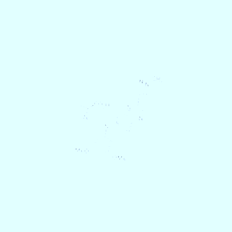 COc1cc(OC)cc(N(CCN2CCC[C@H]2C(=O)O)c2ccc3ncc(-c4cnn(C)c4)nc3c2)c1